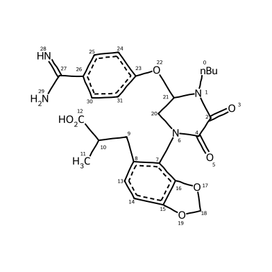 CCCCN1C(=O)C(=O)N(c2c(CC(C)C(=O)O)ccc3c2OCO3)CC1Oc1ccc(C(=N)N)cc1